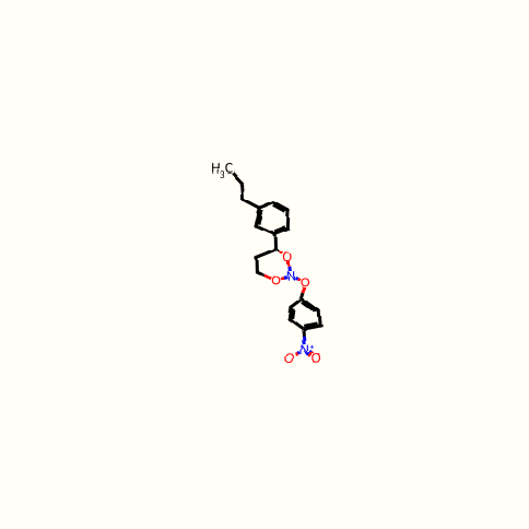 CCCc1cccc(C2CCON(Oc3ccc([N+](=O)[O-])cc3)O2)c1